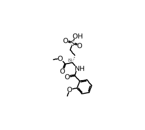 COC(=O)[C@H](CCS(=O)(=O)O)NC(=O)c1ccccc1OC